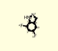 Fc1cc(F)c2[nH]n[c]c2c1